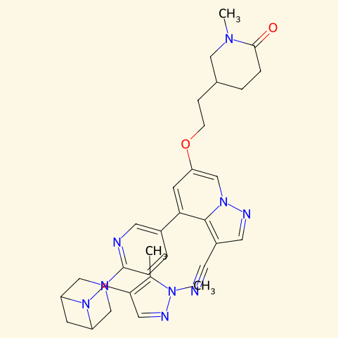 Cc1c(CN2C3CC2CN(c2ccc(-c4cc(OCCC5CCC(=O)N(C)C5)cn5ncc(C#N)c45)cn2)C3)cnn1C